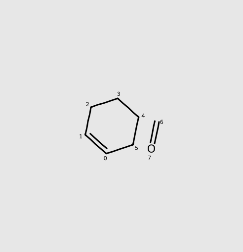 C1=CCCCC1.C=O